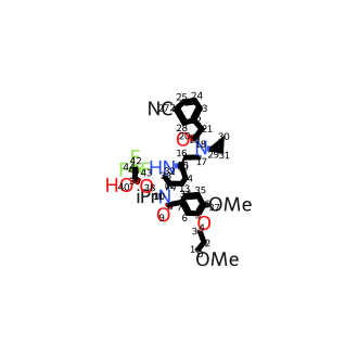 COCCCOc1cc(C(=O)N(C(C)C)[C@@H]2CC[C@H](CCN(C(=O)Cc3cccc(C#N)c3)C3CC3)NC2)ccc1OC.O=C(O)C(F)(F)F